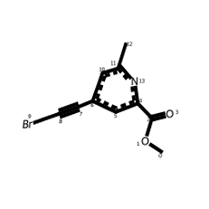 COC(=O)c1cc(C#CBr)cc(C)n1